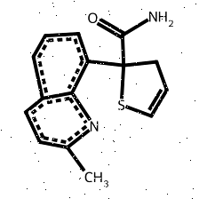 Cc1ccc2cccc(C3(C(N)=O)CC=CS3)c2n1